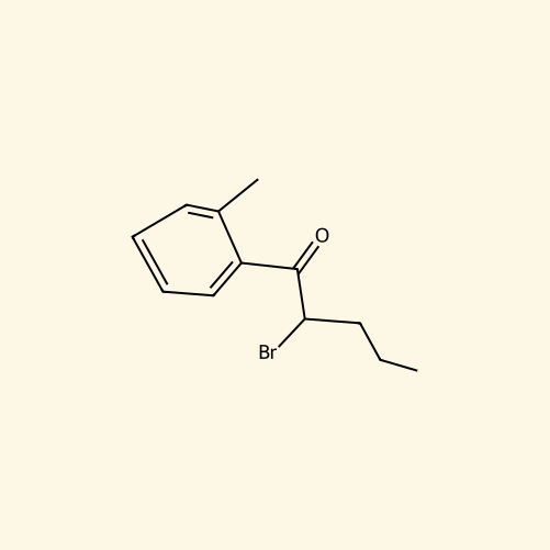 CCCC(Br)C(=O)c1ccccc1C